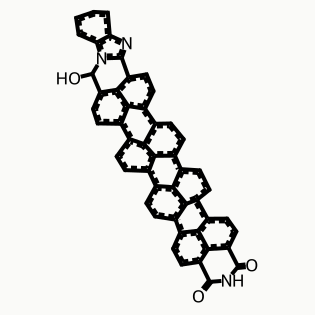 O=C1NC(=O)c2ccc3c4ccc5c6ccc7c8ccc9c%10c(ccc(c%11ccc(c%12ccc(c%13ccc1c2c%133)c4c%125)c6c%117)c%108)-c1nc2ccccc2n1C9O